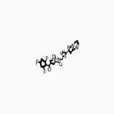 O=C(NCc1nnc(-c2cc3ncccn3n2)s1)c1cc(C(=O)c2c(F)cc(F)cc2F)c[nH]1